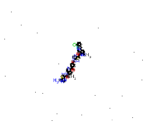 Cc1ccc2c(Cc3cccc(Cl)c3F)nccc2c1NC(=O)c1csc2c(NOc3ccc(C(=O)c4nccc5c(NC(=O)c6csc7c(N)ncnc67)c(C)ccc45)cc3)ncnc12